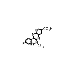 CC(C)N(C)c1nc2cc(C(=O)O)cnc2nc1-c1ccc(F)cc1